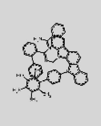 Bc1c(B)c(O)c(B)c(-c2ccc(-n3c4ccccc4c4ccc5c6ccccc6n(C/N=C(\N=C(/N)c6ccccc6)c6ccccc6-c6ccccc6)c5c43)cc2)c1B